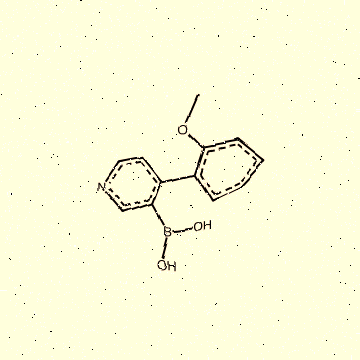 COc1ccccc1-c1ccncc1B(O)O